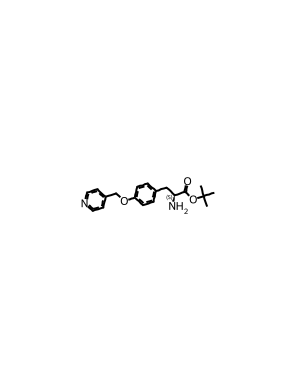 CC(C)(C)OC(=O)[C@@H](N)Cc1ccc(OCc2ccncc2)cc1